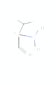 C=C[Si](Cl)(C(C)C)N(C)C